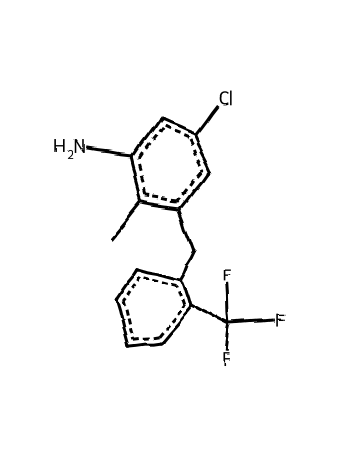 Cc1c(N)cc(Cl)cc1Cc1ccccc1C(F)(F)F